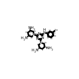 N[C@@H]1C[C@H](N)CN(c2nc(Nc3cccc(I)c3)nc(N3C[C@H](N)C[C@H](N)C3)n2)C1